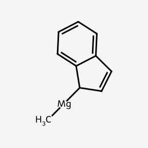 [CH3][Mg][CH]1C=Cc2ccccc21